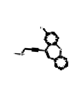 CNCC#CC1=Cc2ccccc2Sc2ccc(Cl)cc21